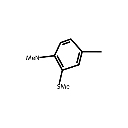 CNc1ccc(C)cc1SC